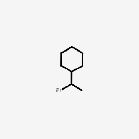 CC(C)C(C)C1CCCCC1